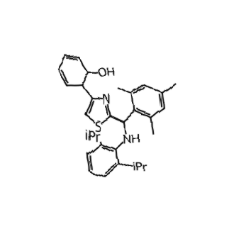 Cc1cc(C)c(C(Nc2c(C(C)C)cccc2C(C)C)c2nc(C3C=CC=CC3O)cs2)c(C)c1